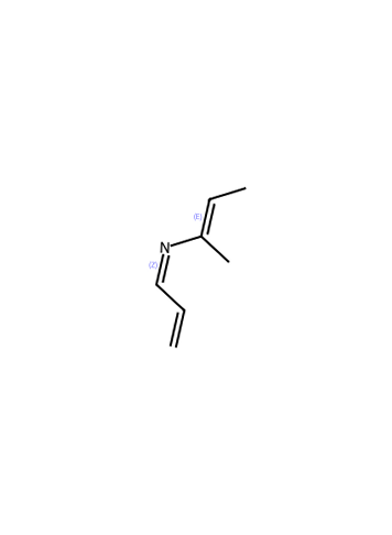 C=C/C=N\C(C)=C\C